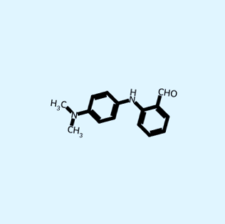 CN(C)c1ccc(Nc2ccccc2C=O)cc1